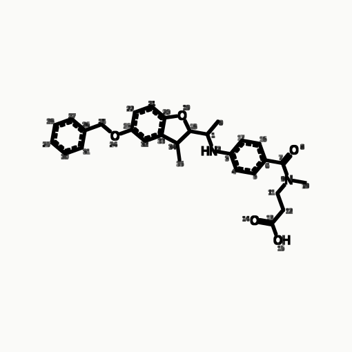 CC(Nc1ccc(C(=O)N(C)CCC(=O)O)cc1)C1Oc2ccc(OCc3ccccc3)cc2C1C